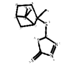 CC1(SC2N=NC(=S)S2)CCC2CC1C2(C)C